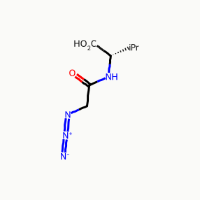 CC(C)[C@H](NC(=O)CN=[N+]=[N-])C(=O)O